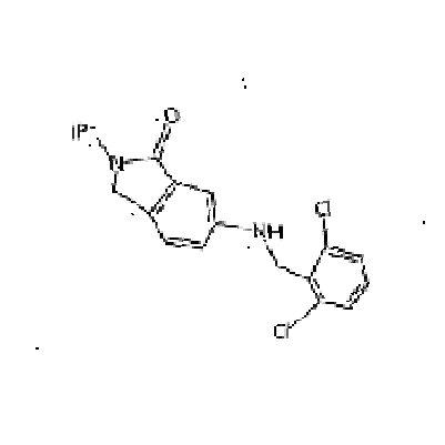 CC(C)N1Cc2ccc(NCc3c(Cl)cccc3Cl)cc2C1=O